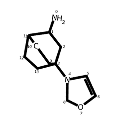 NC1CC2(N3C=COC3)CCC1CC2